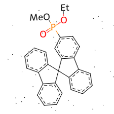 CCOP(=O)(OC)c1ccc2c(c1)C1(c3ccccc3-c3ccccc31)c1ccccc1-2